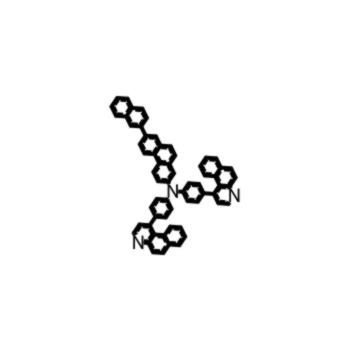 c1ccc2cc(-c3ccc4c(ccc5cc(N(c6ccc(-c7ccnc8ccc9ccccc9c78)cc6)c6ccc(-c7ccnc8ccc9ccccc9c78)cc6)ccc54)c3)ccc2c1